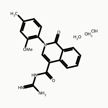 COc1cc(C)ccc1-n1cc(C(=O)NC(=N)N)c2ccccc2c1=O.Cl.O.O